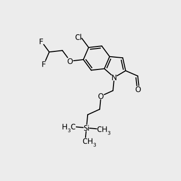 C[Si](C)(C)CCOCn1c(C=O)cc2cc(Cl)c(OCC(F)F)cc21